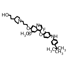 COc1cc2c(Oc3ccc(Nc4ccc(C(C)(C)C)cc4)cc3F)ccnc2cc1OCCCN1CCC(CCO)CC1